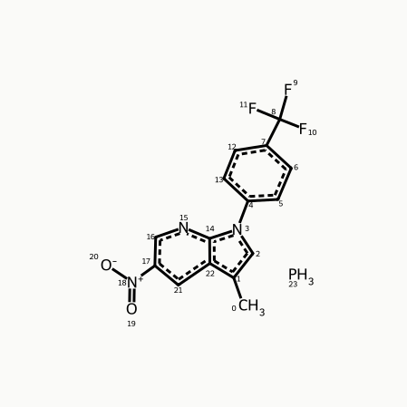 Cc1cn(-c2ccc(C(F)(F)F)cc2)c2ncc([N+](=O)[O-])cc12.P